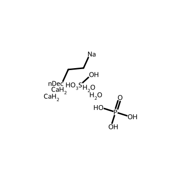 CCCCCCCCCCC[CH2][Na].O.O.O=P(O)(O)O.O=S(=O)(O)O.[CaH2].[CaH2]